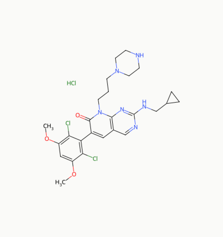 COc1cc(OC)c(Cl)c(-c2cc3cnc(NCC4CC4)nc3n(CCCN3CCNCC3)c2=O)c1Cl.Cl